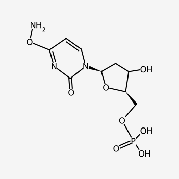 NOc1ccn([C@H]2CC(O)[C@@H](COP(=O)(O)O)O2)c(=O)n1